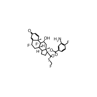 C[C@]12C=CC(=O)C=C1[C@@H](F)C[C@H]1[C@@H]3CC[C@](OC(=O)c4ccc(F)c(N)c4)(C(=O)SCF)[C@@]3(C)C[C@H](O)[C@@]12F